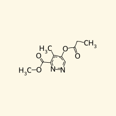 CCC(=O)Oc1cnnc(C(=O)OC)c1C